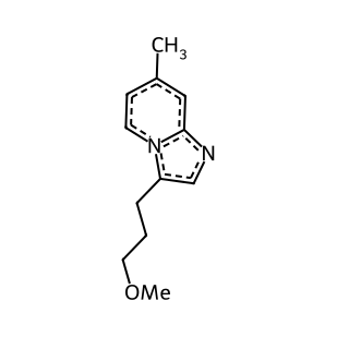 COCCCc1cnc2cc(C)ccn12